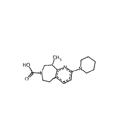 CC1CN(C(=O)O)CCc2ccc(N3CCCCC3)nc21